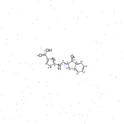 O=C(O)c1csc(N/C=C2\Sc3ccccc3C2=O)n1